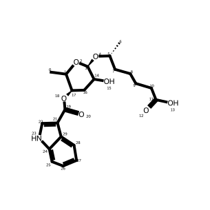 CC1O[C@@H](O[C@H](C)CCCCC(=O)O)C(O)C[C@H]1OC(=O)c1c[nH]c2ccccc12